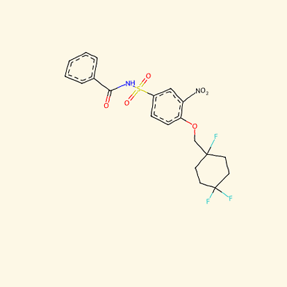 O=C(NS(=O)(=O)c1ccc(OCC2(F)CCC(F)(F)CC2)c([N+](=O)[O-])c1)c1ccccc1